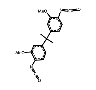 COc1cc(C(C)(C)c2ccc(N=C=O)c(OC)c2)ccc1N=C=O